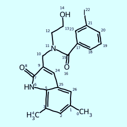 Cc1cc(C)c2[nH]c(=O)c(CN(CCO)C(=O)c3cccc(I)c3)cc2c1